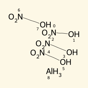 O=[N+]([O-])O.O=[N+]([O-])O.O=[N+]([O-])O.O=[N+]([O-])O.[AlH3]